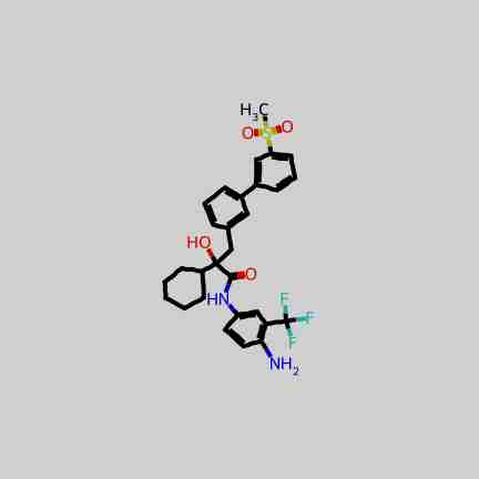 CS(=O)(=O)c1cccc(-c2cccc(CC(O)(C(=O)Nc3ccc(N)c(C(F)(F)F)c3)C3CCCCC3)c2)c1